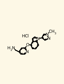 Cl.Cn1cc(-n2ccc3c(Oc4cc(CN)ccn4)cccc32)cn1